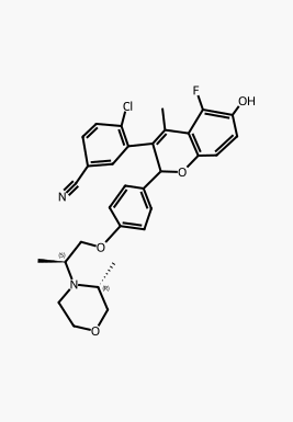 CC1=C(c2cc(C#N)ccc2Cl)C(c2ccc(OC[C@H](C)N3CCOC[C@H]3C)cc2)Oc2ccc(O)c(F)c21